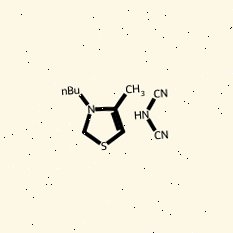 CCCCN1CSC=C1C.N#CNC#N